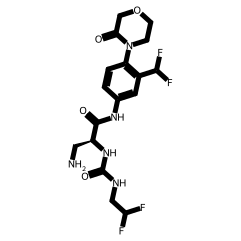 NC[C@H](NC(=O)NCC(F)F)C(=O)Nc1ccc(N2CCOCC2=O)c(C(F)F)c1